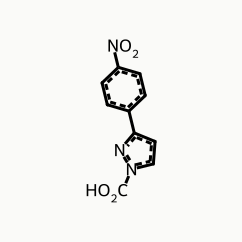 O=C(O)n1ccc(-c2ccc([N+](=O)[O-])cc2)n1